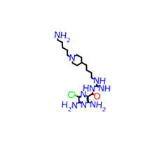 N=C(NCCCCC1CCN(CCCCCN)CC1)NC(=O)c1nc(Cl)c(N)nc1N